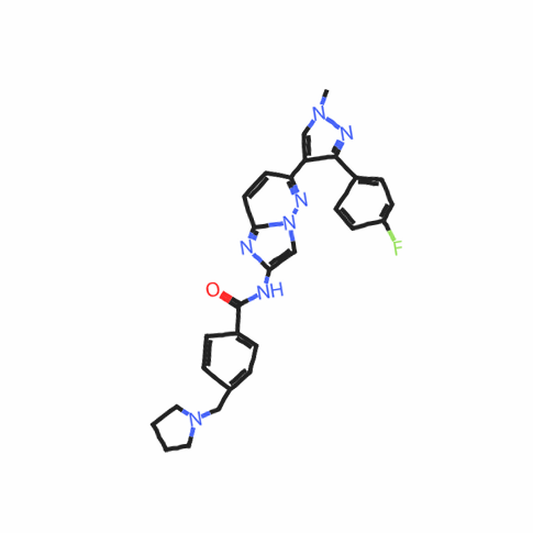 Cn1cc(-c2ccc3nc(NC(=O)c4ccc(CN5CCCC5)cc4)cn3n2)c(-c2ccc(F)cc2)n1